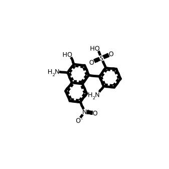 Nc1cccc(S(=O)(=O)O)c1-c1cc(O)c(N)c2ccc([N+](=O)[O-])cc12